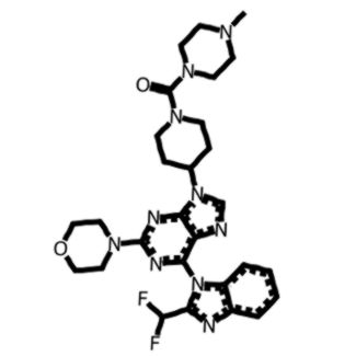 CN1CCN(C(=O)N2CCC(n3cnc4c(-n5c(C(F)F)nc6ccccc65)nc(N5CCOCC5)nc43)CC2)CC1